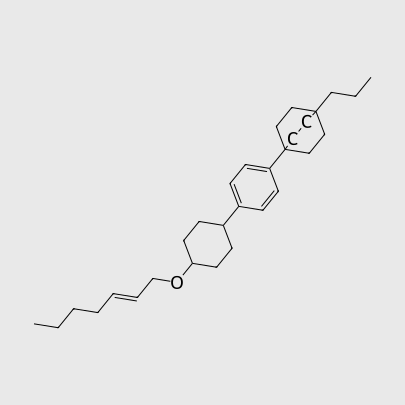 CCCCC=CCOC1CCC(c2ccc(C34CCC(CCC)(CC3)CC4)cc2)CC1